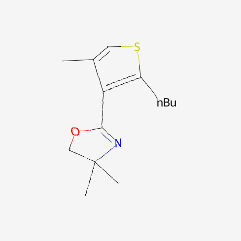 CCCCc1scc(C)c1C1=NC(C)(C)CO1